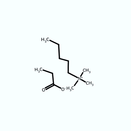 CCC(=O)[O-].CCCCC[N+](C)(C)C